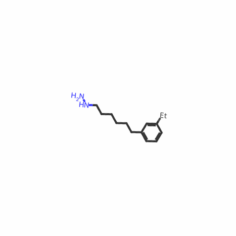 CCc1cccc(CCCCCCNN)c1